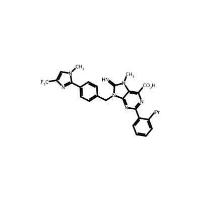 CC(C)c1ccccc1-c1nc(C(=O)O)c2c(n1)n(Cc1ccc(-c3nc(C(F)(F)F)cn3C)cc1)c(=N)n2C